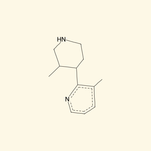 Cc1cccnc1C1CCNCC1C